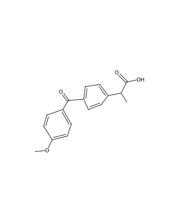 COc1ccc(C(=O)c2ccc(C(C)C(=O)O)cc2)cc1